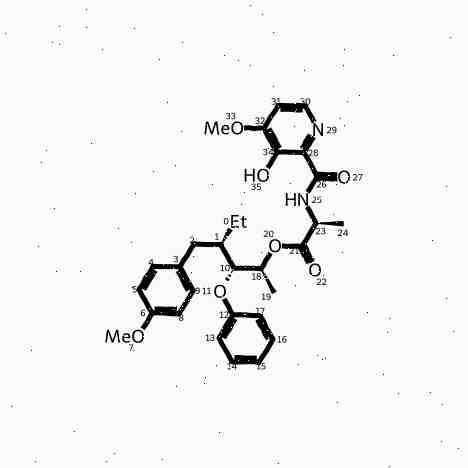 CC[C@H](Cc1ccc(OC)cc1)[C@@H](Oc1ccccc1)[C@H](C)OC(=O)[C@H](C)NC(=O)c1nccc(OC)c1O